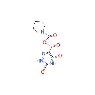 O=C(OC(=O)N1CCCCC1)c1n[nH]c(=O)[nH]c1=O